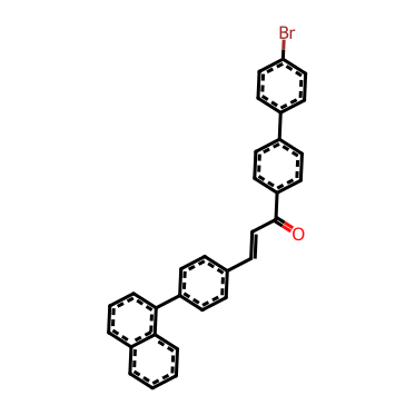 O=C(/C=C/c1ccc(-c2cccc3ccccc23)cc1)c1ccc(-c2ccc(Br)cc2)cc1